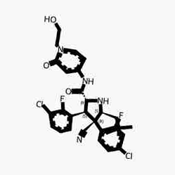 CC(C)(C)C[C@@H]1N[C@@H](C(=O)Nc2ccn(CCO)c(=O)c2)[C@H](c2cccc(Cl)c2F)[C@@]1(C#N)c1ccc(Cl)cc1F